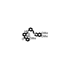 COc1cc2c(cc1OC)CN(CCc1cccc(NC(=O)c3cccc4c(=O)c5cccc(OC)c5[nH]c34)c1)CC2